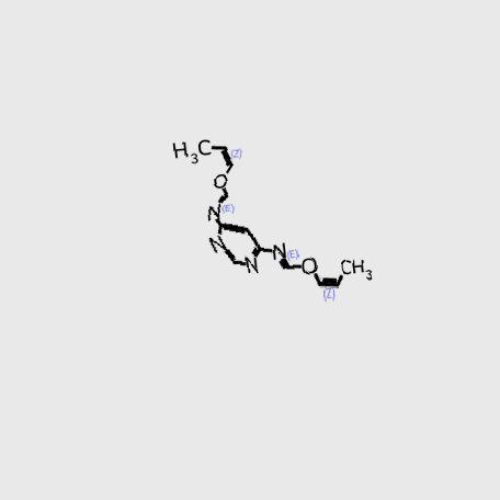 C/C=C\O/C=N/c1cc(/N=C/O/C=C\C)ncn1